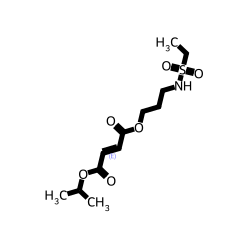 CCS(=O)(=O)NCCCOC(=O)/C=C/C(=O)OC(C)C